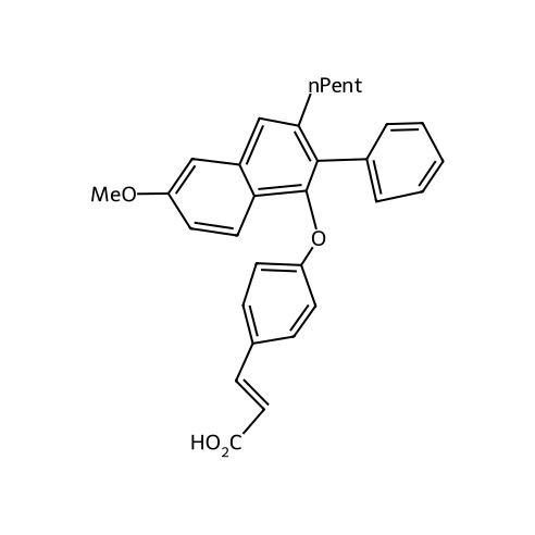 CCCCCc1cc2cc(OC)ccc2c(Oc2ccc(C=CC(=O)O)cc2)c1-c1ccccc1